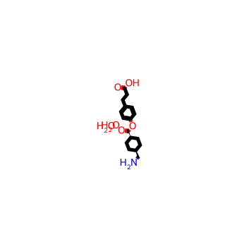 NC[C@H]1CC[C@H](C(=O)Oc2ccc(CCC(=O)O)cc2)CC1.O.O